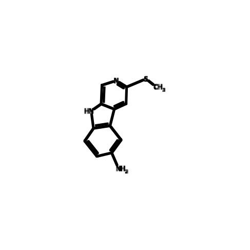 CSc1cc2c(cn1)[nH]c1ccc(N)cc12